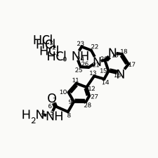 Cl.Cl.Cl.Cl.NNC(=O)Cc1ccc(CCc2nccnc2N2CCNCC2)cc1